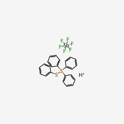 [F][Sb-]([F])([F])([F])([F])[F].[H+].c1ccc(SS(c2ccccc2)(c2ccccc2)c2ccccc2)cc1